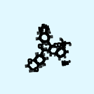 CN(C)c1cccc(C/C(C(=O)c2ccc3c(c2)OCCO3)=C(\C(=O)[O-])c2ccc3nsnc3c2)c1.[Na+]